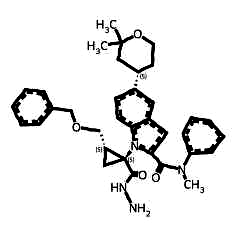 CN(C(=O)c1cc2cc([C@H]3CCOC(C)(C)C3)ccc2n1[C@@]1(C(=O)NN)C[C@@H]1COCc1ccccc1)c1ccccc1